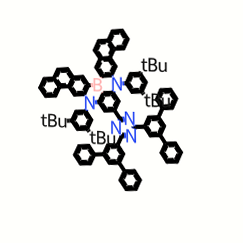 CC(C)(C)c1cc(N2c3cc4c(ccc5ccccc54)cc3B3c4cc5ccc6ccccc6c5cc4N(c4cc(C(C)(C)C)cc(C(C)(C)C)c4)c4cc(-c5nc(-c6cc(-c7ccccc7)cc(-c7ccccc7)c6)nc(-c6cc(-c7ccccc7)cc(-c7ccccc7)c6)n5)cc2c43)cc(C(C)(C)C)c1